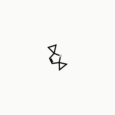 C1=CC2(CC2)OC12CC2